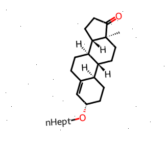 CCCCCCCO[C@@H]1C=C2CC[C@@H]3[C@H](CC[C@]4(C)C(=O)CC[C@@H]34)[C@H]2CC1